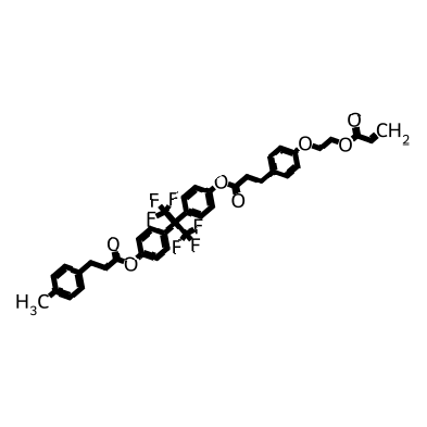 C=CC(=O)OCCOc1ccc(CCC(=O)Oc2ccc(C(c3ccc(OC(=O)CCc4ccc(C)cc4)cc3)(C(F)(F)F)C(F)(F)F)cc2)cc1